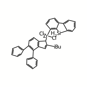 CCC(C)C1=Cc2c(ccc(-c3ccccc3)c2-c2ccccc2)[CH]1[Zr]([Cl])([Cl])[c]1cccc2c1[SiH2]c1ccccc1-2